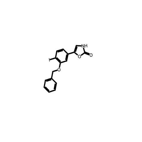 O=c1[nH]cc(-c2ccc(I)c(OCc3ccccc3)c2)o1